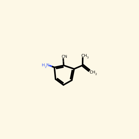 C=C(C)c1cccc(N)c1C#N